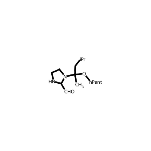 CCCCCOC(C)(CC(C)C)N1CCNC1C=O